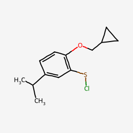 CC(C)c1ccc(OCC2CC2)c(SCl)c1